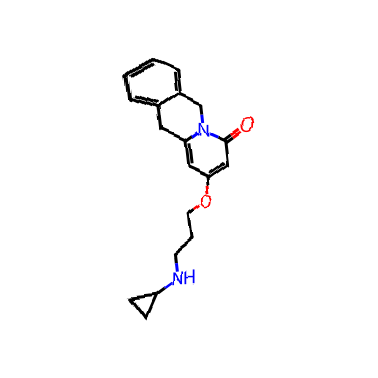 O=c1cc(OCCCNC2CC2)cc2n1Cc1ccccc1C2